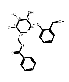 O=C(OC[C@H]1O[C@@H](Oc2ccccc2CO)[C@H](O)[C@@H](O)[C@@H]1O)c1ccccc1